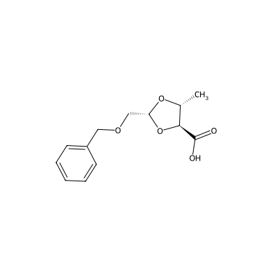 C[C@H]1O[C@@H](COCc2ccccc2)O[C@@H]1C(=O)O